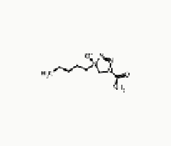 CCCCC[N+]1([O-])CN(C(N)=O)N=N1